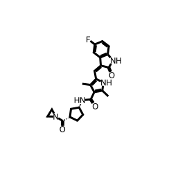 Cc1[nH]c(/C=C2\C(=O)Nc3ccc(F)cc32)c(C)c1C(=O)N[C@@H]1CC[C@H](C(=O)N2CC2)C1